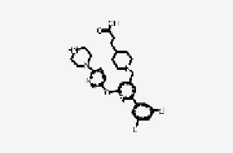 O=C(O)CCC1CCN(Cc2cc(Oc3ccc(N4CCNCC4)nc3)nc(-c3cc(Cl)cc(Cl)c3)c2)CC1